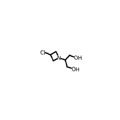 OCC(CO)N1CC(Cl)C1